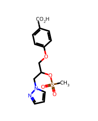 CS(=O)(=O)OC(COc1ccc(C(=O)O)cc1)Cn1cccn1